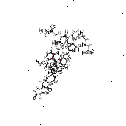 CC(C)(C)c1ccc(C[C@H](NC(=O)[C@H](CCC(N)=O)NC(=O)[C@@H]2CC[C@@H]3CCN(CC(F)F)C[C@H](NC(=O)c4cc5cc(C(F)(F)P(=O)(O)O)ccc5s4)C(=O)N32)C(=O)N2CCN(C3CN(c4ccc5c(c4)CN(C4CCC(=O)NC4=O)C5=O)C3)CC2)cc1